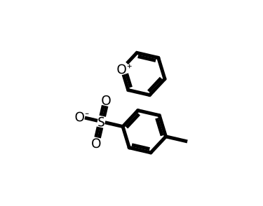 Cc1ccc(S(=O)(=O)[O-])cc1.c1cc[o+]cc1